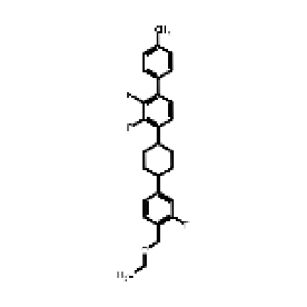 CCOCc1ccc(C2CCC(c3ccc(-c4ccc(C)cc4)c(F)c3F)CC2)cc1F